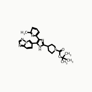 Cc1cccc(-c2nc(C3CCN(C(=O)OC(C)(C)C)CC3)[nH]c2-c2ccc3ncnn3c2)n1